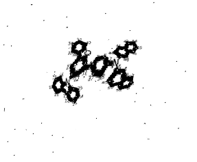 c1ccc2cc(N(c3ccc(-c4cc(-n5c6ccccc6c6ccccc65)cc5c4oc4ccccc45)cc3)c3ccc4ccccc4c3)ccc2c1